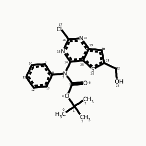 CC(C)(C)OC(=O)N(c1ccccc1)c1nc(Cl)nc2cc(CO)sc12